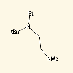 CCN(CCNC)C(C)(C)C